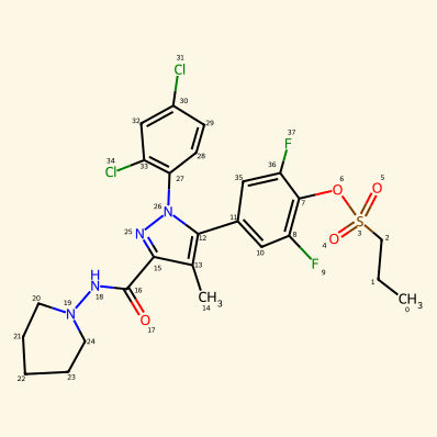 CCCS(=O)(=O)Oc1c(F)cc(-c2c(C)c(C(=O)NN3CCCCC3)nn2-c2ccc(Cl)cc2Cl)cc1F